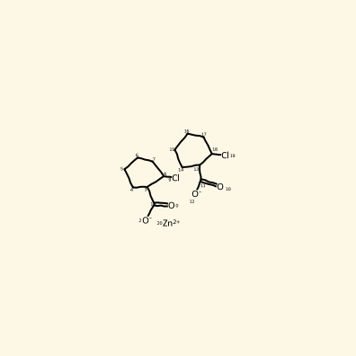 O=C([O-])C1CCCCC1Cl.O=C([O-])C1CCCCC1Cl.[Zn+2]